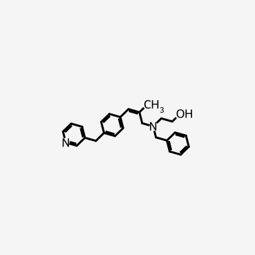 CC(=Cc1ccc(Cc2cccnc2)cc1)CN(CCO)Cc1ccccc1